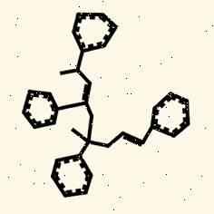 CC(C=C(CC(C)(CC=Cc1ccccc1)c1ccccc1)c1ccccc1)c1ccccc1